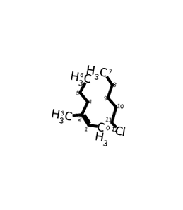 CC=C(C)CCC.CCCCCCl